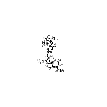 C[C@H](CCC1=C[C@@](C)(O[Si](C)(C)C)C(=O)O1)[C@H]1CCC2/C(=C/Br)CCC[C@@]21C